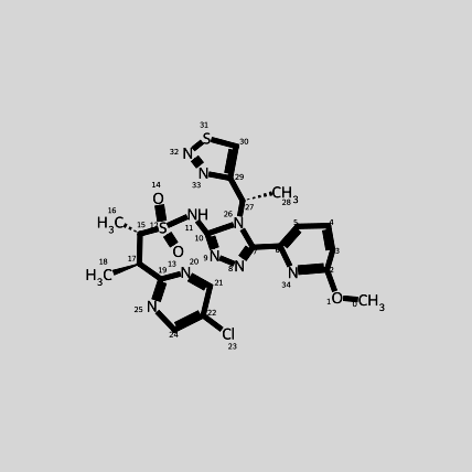 COc1cccc(-c2nnc(NS(=O)(=O)[C@@H](C)[C@H](C)c3ncc(Cl)cn3)n2[C@@H](C)c2csnn2)n1